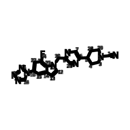 N#CN1CCC(c2cnc(Cn3ccc4cc(-n5cnnn5)cc(F)c43)cn2)CC1